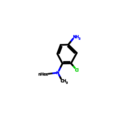 CCCCCCN(C)c1ccc(N)cc1Cl